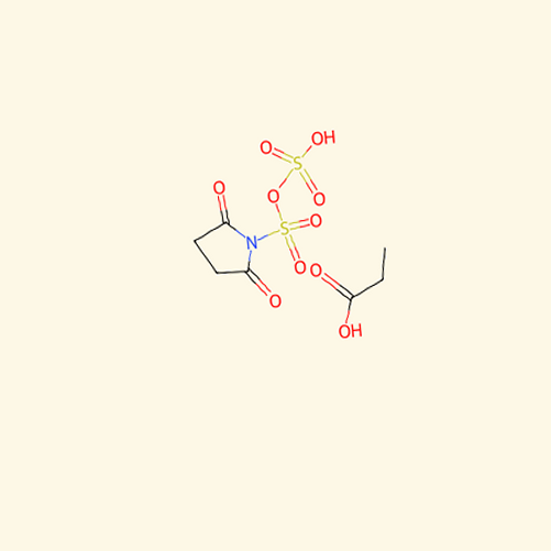 CCC(=O)O.O=C1CCC(=O)N1S(=O)(=O)OS(=O)(=O)O